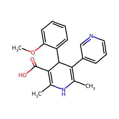 COc1ccccc1C1C(C(=O)O)=C(C)NC(C)=C1c1cccnc1